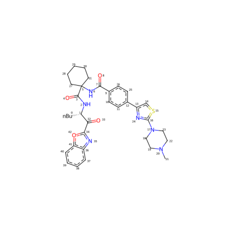 CCCC[C@H](NC(=O)C1(NC(=O)c2ccc(-c3csc(N4CCN(C)CC4)n3)cc2)CCCCC1)C(=O)c1nc2ccccc2o1